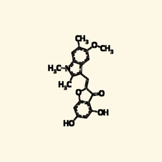 COc1cc2c(C=C3Oc4cc(O)cc(O)c4C3=O)c(C)n(C)c2cc1C